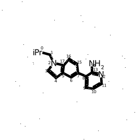 CC(C)Cn1ccc2cc(-c3cccnc3N)ccc21